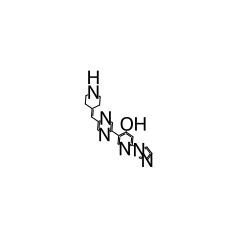 Oc1cc(-n2ccnc2)ncc1-c1cnc(C=C2CCNCC2)cn1